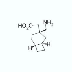 NC[C@]1(CC(=O)O)CC[C@H]2CC[C@H]2C1